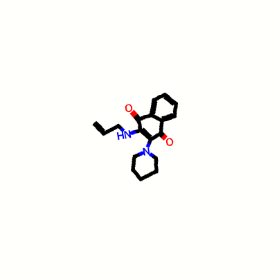 C=CCNC1=C(N2CCCCC2)C(=O)c2ccccc2C1=O